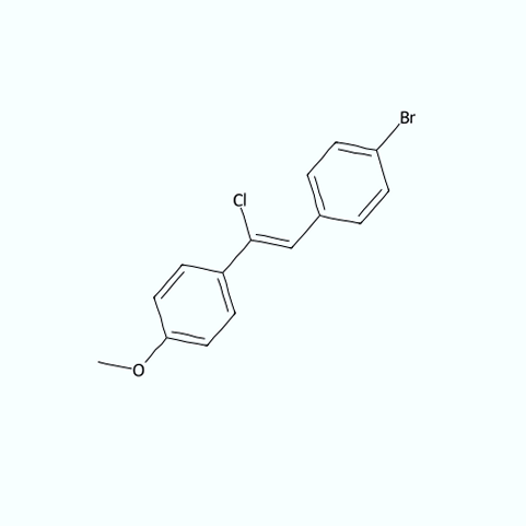 COc1ccc(C(Cl)=Cc2ccc(Br)cc2)cc1